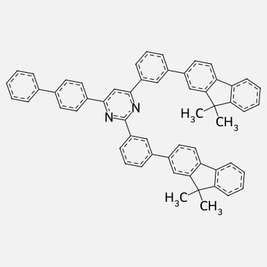 CC1(C)c2ccccc2-c2ccc(-c3cccc(-c4cc(-c5ccc(-c6ccccc6)cc5)nc(-c5cccc(-c6ccc7c(c6)C(C)(C)c6ccccc6-7)c5)n4)c3)cc21